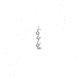 CCCc1ccc(CCc2ccc(-c3ccc(OC(F)F)cc3)cc2)c(F)c1